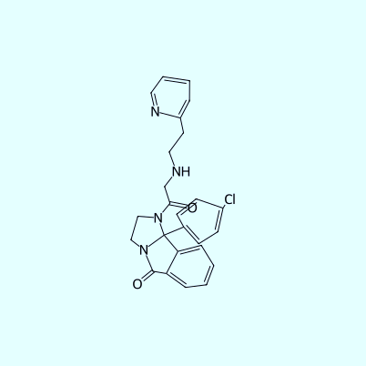 O=C(CNCCc1ccccn1)N1CCN2C(=O)c3ccccc3C12c1ccc(Cl)cc1